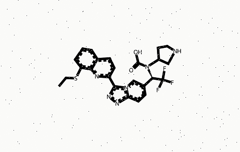 CCSc1cccc2ccc(-c3nnc4ccc([C@@H](N(C(=O)O)C5CCNC5)C(F)(F)F)cn34)nc12